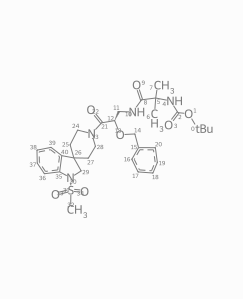 CC(C)(C)OC(=O)NC(C)(C)C(=O)NC[C@@H](OCc1ccccc1)C(=O)N1CCC2(CC1)CN(S(C)(=O)=O)c1ccccc12